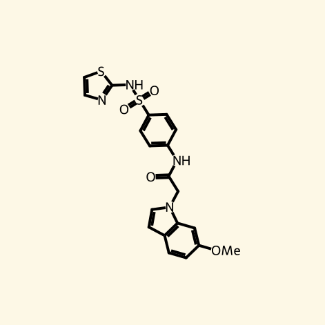 COc1ccc2ccn(CC(=O)Nc3ccc(S(=O)(=O)Nc4nccs4)cc3)c2c1